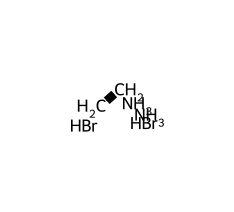 Br.Br.C=C.N.N